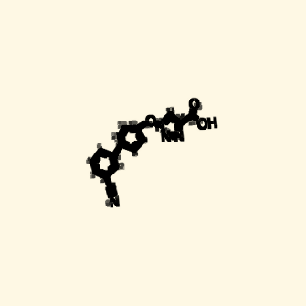 N#Cc1cccc(-c2ccc(On3cc(C(=O)O)nn3)cc2)c1